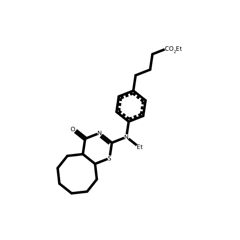 CCOC(=O)CCCc1ccc(N(CC)C2=NC(=O)C3CCCCCCC3S2)cc1